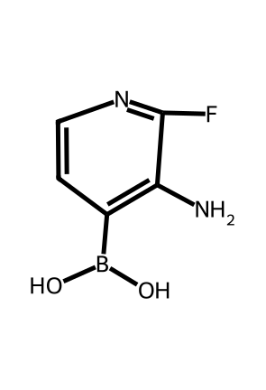 Nc1c(B(O)O)ccnc1F